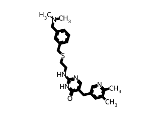 Cc1cc(Cc2cnc(NCCSCc3cccc(CN(C)C)c3)[nH]c2=O)cnc1C